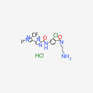 CN(CCCCN)C(=O)c1ccc(NC(=O)c2ncc(-c3cn(C4CC4)nc3C(F)(F)F)n2C)cc1Cl.Cl